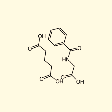 O=C(O)CCCC(=O)O.O=C(O)CNC(=O)c1ccccc1